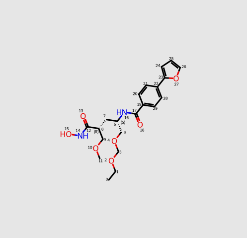 CCOCOC[C@H](C[C@H](COC)C(=O)NO)NC(=O)c1ccc(-c2ccco2)cc1